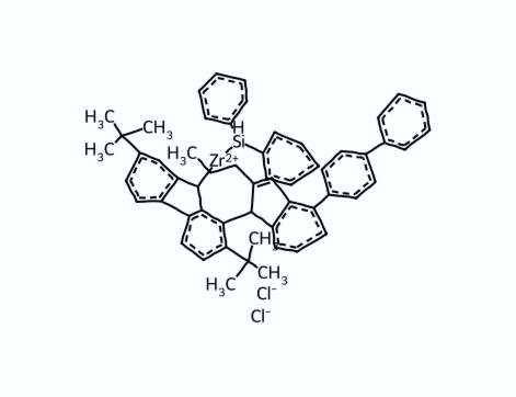 CCCC1=Cc2c(-c3ccc(-c4ccccc4)cc3)cccc2C1c1c(C(C)(C)C)ccc2c1[CH]([Zr+2][SiH](c1ccccc1)c1ccccc1)c1cc(C(C)(C)C)ccc1-2.[Cl-].[Cl-]